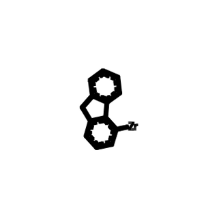 [Zr][c]1cccc2c1-c1ccccc1C2